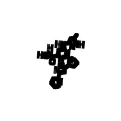 Cc1cc(Nc2cc(C(=O)NO)nc(N3CCCC3c3cc(-c4ccccn4)no3)n2)n[nH]1